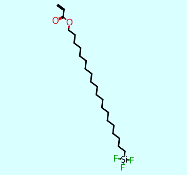 C=CC(=O)OCCCCCCCCCCCCCCCCCCCC[Si](F)(F)F